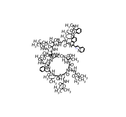 CNC(=O)c1ccccc1Sc1ccc2c(/C=C/c3ccccn3)nn(C(=O)N(CCOC(=O)C(C)C)CCC(=O)N[C@H](C(=O)N[C@@H](CCNC(=O)OC(C)(C)C)C(=O)N[C@H]3CCNC(=O)[C@H]([C@@H](C)O)NC(=O)[C@H](CCNC(=O)OC(C)(C)C)NC(=O)[C@H](CCNC(=O)OC(C)(C)C)NC(=O)[C@H](CC(C)C)NC(=O)[C@@H](Cc4ccccc4)NC(=O)[C@H](CCNC(=O)OC(C)(C)C)NC3=O)[C@@H](C)O)c2c1